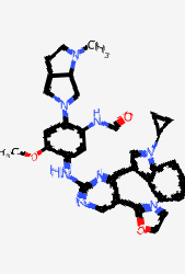 COc1cc(N2CC3CCN(C)C3C2)c(NC=O)cc1Nc1ncc(-c2ncco2)c(-c2cn(C3CC3)c3ccccc23)n1